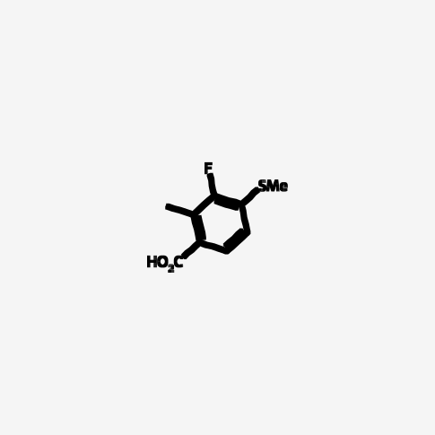 CSc1ccc(C(=O)O)c(C)c1F